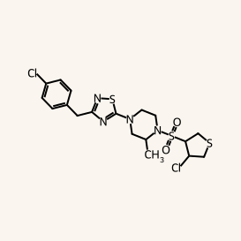 CC1CN(c2nc(Cc3ccc(Cl)cc3)ns2)CCN1S(=O)(=O)C1CSCC1Cl